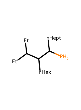 CCCCCCCC(P)C(CCCCCC)C(CC)CC